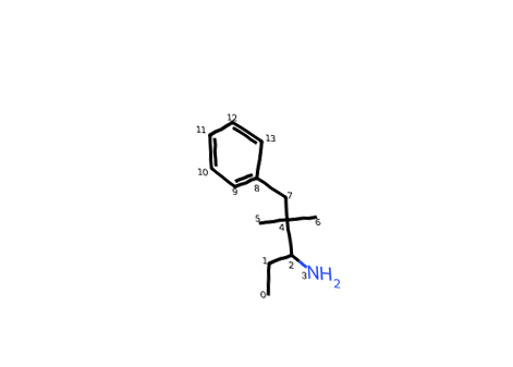 CCC(N)C(C)(C)Cc1ccccc1